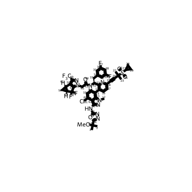 COC(C)(C)c1nnc(Nc2nn(C)c3c(-c4ccc(C#CC(C)(C)S(=O)(=O)C5CC5)nc4[C@H](Cc4cc(F)cc(F)c4)NC(=O)Cn4nc(C(F)(F)F)c5c4C(F)(F)[C@@H]4C[C@H]54)ccc(Cl)c23)o1